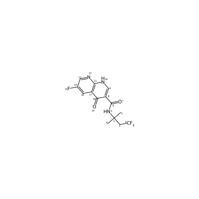 CC(C)(CC(F)(F)F)NC(=O)c1c[nH]c2ncc(F)cc2c1=O